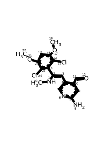 CN/C(=C\c1cnc(N)cc1C=O)c1c(Cl)c(OC)cc(OC)c1Cl